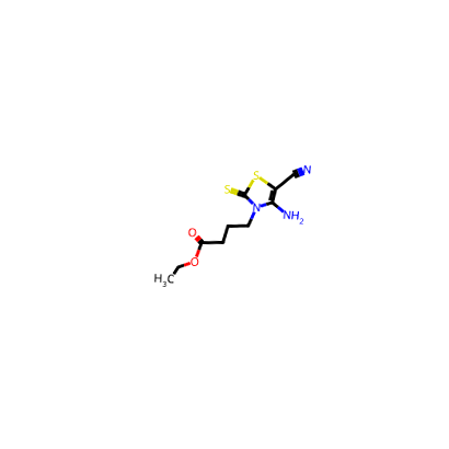 CCOC(=O)CCCn1c(N)c(C#N)sc1=S